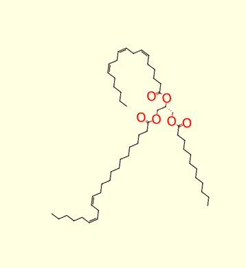 CCCCC/C=C\C/C=C\C/C=C\CCCCC(=O)O[C@H](COC(=O)CCCCCCCCCCC)COC(=O)CCCCCCCCCCC/C=C\C/C=C\CCCCC